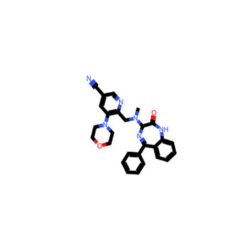 CN(Cc1ncc(C#N)cc1N1CCOCC1)C1N=C(c2ccccc2)c2ccccc2NC1=O